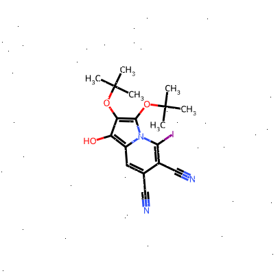 CC(C)(C)Oc1c(O)c2cc(C#N)c(C#N)c(I)n2c1OC(C)(C)C